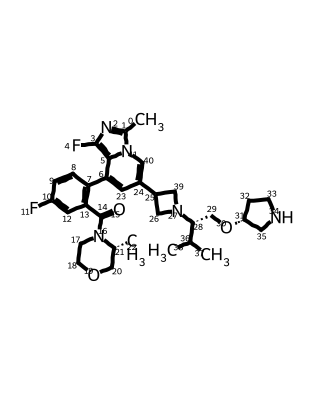 Cc1nc(F)c2c(-c3ccc(F)cc3C(=O)N3CCOC[C@H]3C)cc(C3CN([C@H](CO[C@@H]4CCNC4)C(C)C)C3)cn12